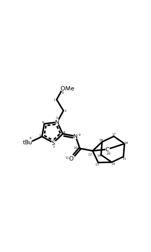 COCCn1cc(C(C)(C)C)sc1=NC(=O)C12CC3CC(CC1C3)C2